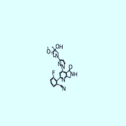 CO[C@H]1CN(c2ccn(-c3cc(-c4c(F)cccc4C#N)nc4c3C(=O)NC4)n2)C[C@@]1(C)O